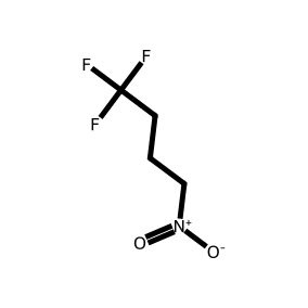 O=[N+]([O-])CCCC(F)(F)F